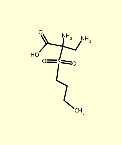 CCCCS(=O)(=O)C(N)(CN)C(=O)O